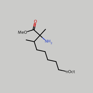 CCCCCCCCCCCCCC(C)C(C)(N)C(=O)OC